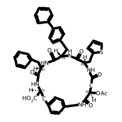 CC(=O)O[C@@H]1CC(=O)N[C@H](Cc2cccs2)C(=O)N[C@@H](Cc2ccc(-c3ccccc3)cc2)C(=O)N[C@H](Cc2ccccc2)C(=O)N[C@H](C(=O)O)Cc2ccc(cc2)NC1=O